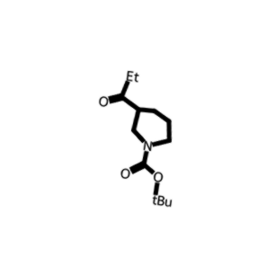 CCC(=O)C1CCCN(C(=O)OC(C)(C)C)C1